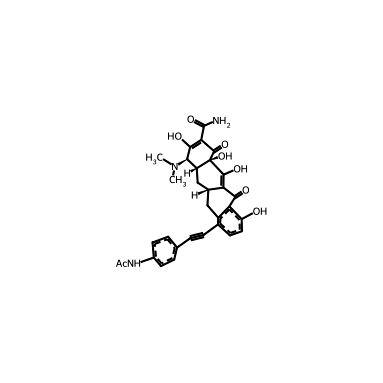 CC(=O)Nc1ccc(C#Cc2ccc(O)c3c2C[C@@H]2C[C@@H]4[C@@H](N(C)C)C(O)=C(C(N)=O)C(=O)[C@]4(O)C(O)=C2C3=O)cc1